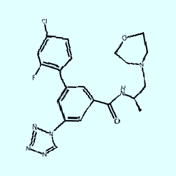 C[C@H](CN1CCOCC1)NC(=O)c1cc(-c2ccc(Cl)cc2F)cc(-n2cnnn2)c1